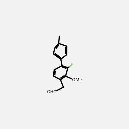 COc1c(CC=O)ccc(-c2ccc(C)cc2)c1F